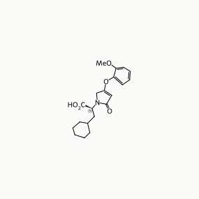 COc1ccccc1OC1=CC(=O)N([C@@H](CC2CCCCC2)C(=O)O)C1